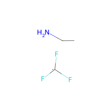 CCN.F[C](F)F